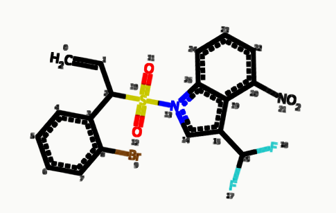 C=CC(c1ccccc1Br)S(=O)(=O)n1cc(C(F)F)c2c([N+](=O)[O-])cccc21